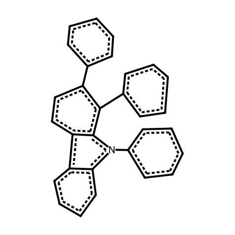 c1ccc(-c2ccc3c4ccccc4n(-c4ccccc4)c3c2-c2ccccc2)cc1